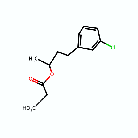 CC(CCc1cccc(Cl)c1)OC(=O)CC(=O)O